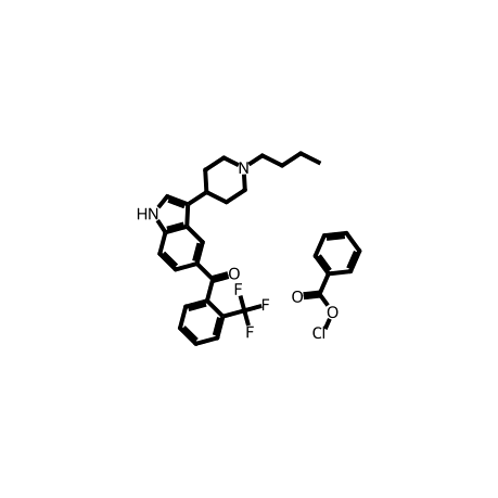 CCCCN1CCC(c2c[nH]c3ccc(C(=O)c4ccccc4C(F)(F)F)cc23)CC1.O=C(OCl)c1ccccc1